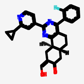 CCC[C@@]12C/C(=C/O)C(=O)C[C@H]1CCc1c(-c3ccccc3F)nc(-c3ccnc(C4CC4)c3)nc12